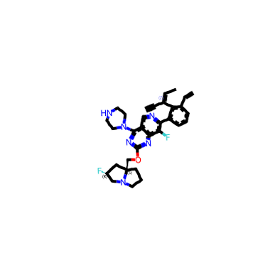 C#C/C(=C/C)c1c(C=C)cccc1-c1ncc2c(N3CCNCC3)nc(OC[C@@]34CCCN3C[C@H](F)C4)nc2c1F